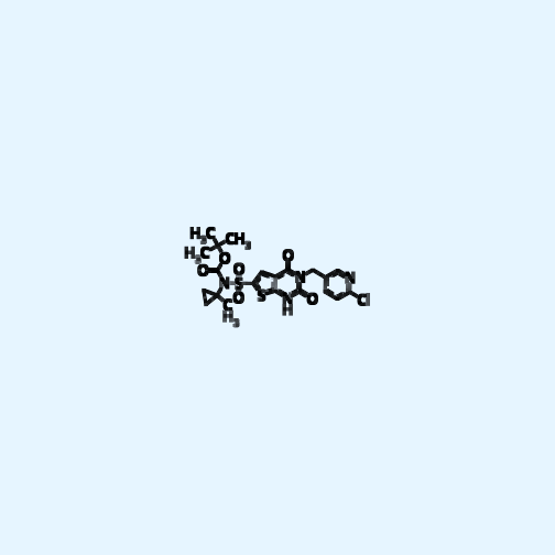 CC(C)(C)OC(=O)N(C1(C)CC1)S(=O)(=O)c1cc2c(=O)n(Cc3ccc(Cl)nc3)c(=O)[nH]c2s1